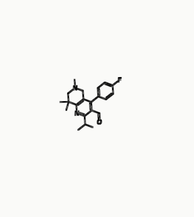 CC(C)c1nc2c(c(-c3ccc(F)cc3)c1C=O)CN(C)CC2(C)C